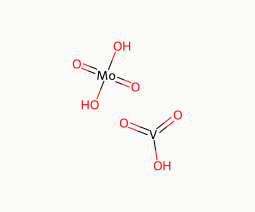 [O]=[Mo](=[O])([OH])[OH].[O]=[V](=[O])[OH]